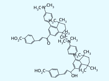 CN(C)c1ccc(-c2cc(C(=O)/C=C/c3ccc(C(=O)O)cc3)cc3c2C(C)(C)CCC3(C)C)cc1.CN(C)c1ccc(-c2cc(C(O)/C=C/c3ccc(C(=O)O)cc3)cc3c2C(C)(C)CCC3(C)C)cc1